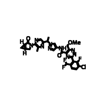 COCc1nnc(-c2c(C(F)F)ccc(Cl)c2F)nc1C(=O)Nc1cnn(C(C)c2cnc(N3C[C@H]4C[C@H]4C3=O)c(C)n2)c1